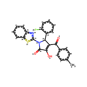 Cc1ccc(C(=O)C2=C(O)C(=O)N(c3nc4ccccc4s3)C2c2ccccc2F)cc1